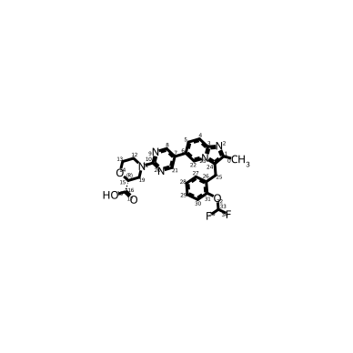 Cc1nc2ccc(-c3cnc(N4CCO[C@@H](C(=O)O)C4)nc3)cn2c1Cc1ccccc1OC(F)F